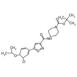 CC(C)OC1C=CC(c2cc(C(=O)NC3CCN(C(=O)OC(C)(C)C)CC3)no2)=CC1Cl